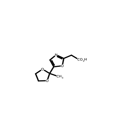 CC1(c2cnc(CC(=O)O)o2)OCCO1